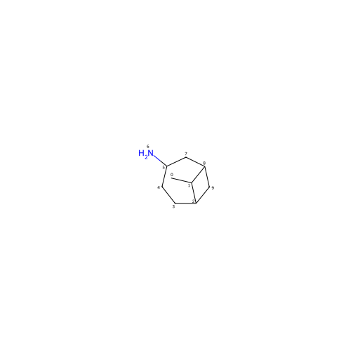 CC1C2CCC(N)CC1C2